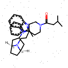 Cc1nc2ccccc2n1C1C[C@H]2CC[C@@H](C1)N2CCC1(c2ccccc2)CCN(C(=O)CC(C)C)CC1